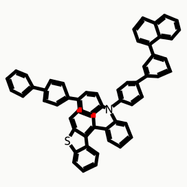 c1ccc(-c2ccc(-c3ccc(N(c4ccc(-c5cccc(-c6cccc7ccccc67)c5)cc4)c4ccccc4-c4cccc5sc6ccccc6c45)cc3)cc2)cc1